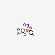 COc1cc(C2OC=NC2S(=O)(=O)c2ccc(C)cc2)cc(OC)c1Br